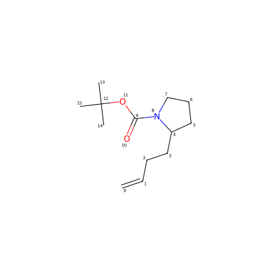 C=CCCC1CCCN1C(=O)OC(C)(C)C